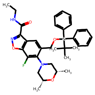 CCNC(=O)c1noc2c(F)c(N3C[C@@H](C)O[C@@H](C)C3)c(CO[Si](c3ccccc3)(c3ccccc3)C(C)(C)C)cc12